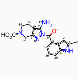 Cc1cc2c(C(=O)n3nc4c(c3N)CCN(C(=O)O)C4)cccc2[nH]1